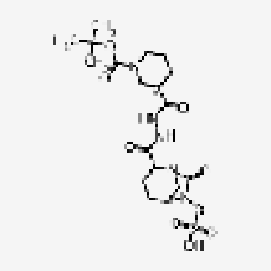 CC(C)(C)OC(=O)N1CCC[C@@H](C(=O)NNC(=O)C2CCC3CN2C(=O)N3OS(=O)(=O)O)C1